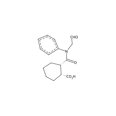 O=CCN(C(=O)[C@H]1CCCC[C@H]1C(=O)O)c1ccccc1